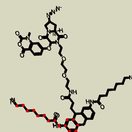 Cn1c(=O)oc(=O)c2ccc(OC3C(=O)N4CC(N=[N+]=[N-])C[C@H]4C(=O)N3CCOCCOCCNC(=O)CCC34c5cc(NC(=O)CCCCCCCN)ccc5C(c5ccc(NC(=O)CCCCCCCN)cc53)c3ccc(NC(=O)CCCCCCCN)cc34)cc21